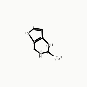 O=C(O)C1NCc2sccc2N1